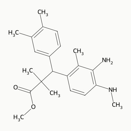 CNc1ccc(C(c2ccc(C)c(C)c2)C(C)(C)C(=O)OC)c(C)c1N